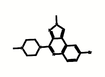 CN1CCN(c2nc3ccc(Br)cc3c3cn(C)nc23)CC1